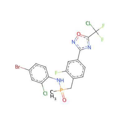 CP(=O)(Cc1ccc(-c2noc(C(F)(F)Cl)n2)cc1F)Nc1ccc(Br)cc1Cl